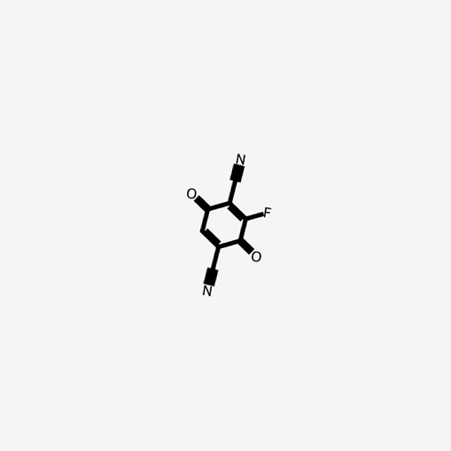 N#CC1=CC(=O)C(C#N)=C(F)C1=O